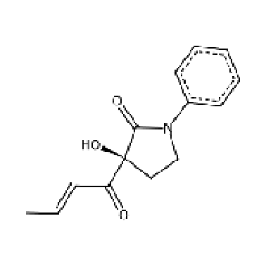 C/C=C/C(=O)[C@@]1(O)CCN(c2ccccc2)C1=O